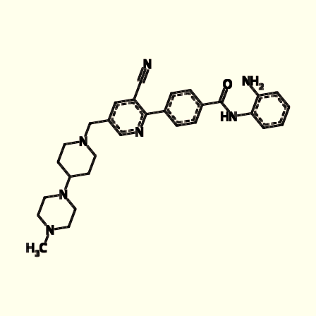 CN1CCN(C2CCN(Cc3cnc(-c4ccc(C(=O)Nc5ccccc5N)cc4)c(C#N)c3)CC2)CC1